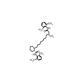 Cc1cccc(C)c1NC(=O)CN(C)CCCCCCCCN1CCCC[C@H]1C(=O)Nc1c(C)cccc1C